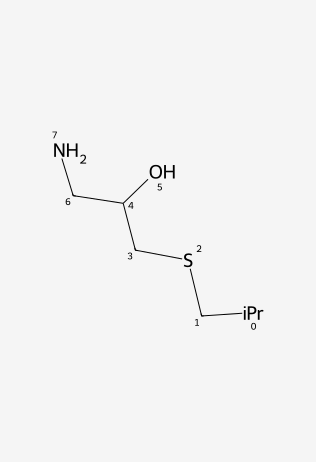 CC(C)CSCC(O)CN